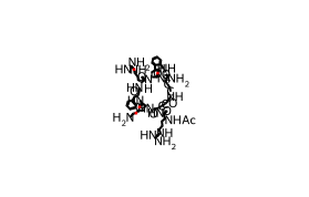 CC(=O)N[C@@H](CCCNC(=N)N)C(=O)NC1CCC(=O)NCCCC(C(N)=O)NC(=O)[C@H](Cc2c[nH]c3ccccc23)NC(=O)[C@H](CCCNC(=N)N)NC(=O)C(Cc2ccccc2)NC(=O)[C@H](CCCCN)NC1=O